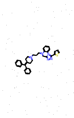 c1ccc(C(=C2CCN(CCCN3Cc4nnc(-c5cccs5)n4-c4ccccc43)CC2)c2ccccc2)cc1